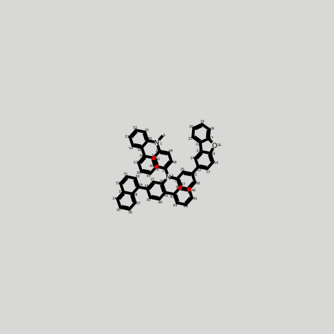 CN(c1ccc(N(c2cccc(-c3ccc4oc5ccccc5c4c3)c2)c2cc(-c3cccc4ccccc34)ccc2-c2ccccc2)cc1)c1ccccc1-c1ccccc1